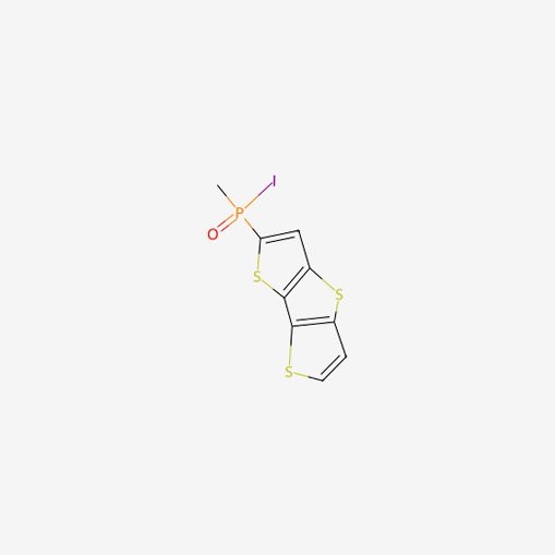 CP(=O)(I)c1cc2sc3ccsc3c2s1